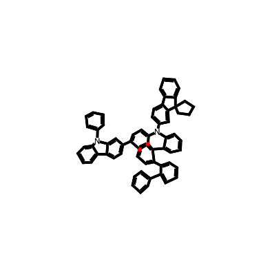 c1ccc(-c2ccccc2-c2ccccc2-c2ccccc2N(c2ccc(-c3ccc4c5ccccc5n(-c5ccccc5)c4c3)cc2)c2ccc3c(c2)C2(CCCC2)c2ccccc2-3)cc1